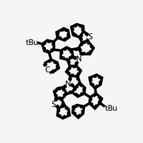 CC(C)(C)c1cc(-c2ccccc2)c(-c2cc3c4cc5c(cc4n4c6ccc7sc8ccccc8c7c6c(c2)c34)c2cc(-c3c(-c4ccccc4)cc(C(C)(C)C)cc3-c3ccccc3)cc3c4c6c(ccc4n5c23)sc2ccccc26)c(-c2ccccc2)c1